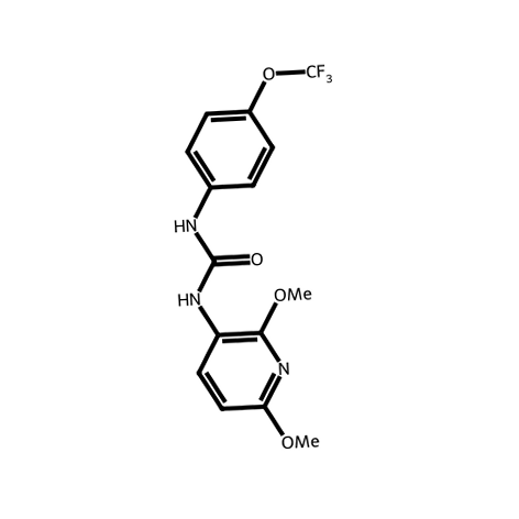 COc1ccc(NC(=O)Nc2ccc(OC(F)(F)F)cc2)c(OC)n1